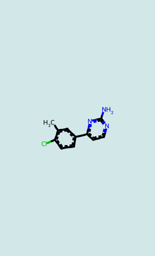 Cc1cc(-c2ccnc(N)n2)ccc1Cl